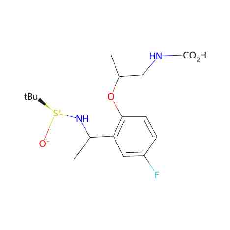 CC(CNC(=O)O)Oc1ccc(F)cc1C(C)N[S@@+]([O-])C(C)(C)C